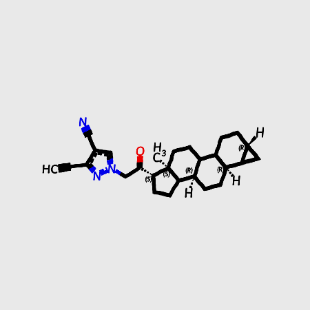 C#Cc1nn(CC(=O)[C@H]2CCC3[C@@H]4CC[C@H]5C(CC[C@@H]6CC65)C4CC[C@@]32C)cc1C#N